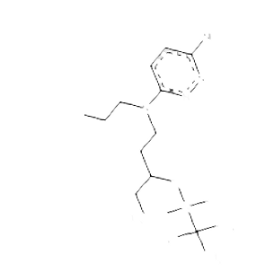 CCCN(CCC(CC)O[Si](C)(C)C(C)(C)C)c1ccc(N)nn1